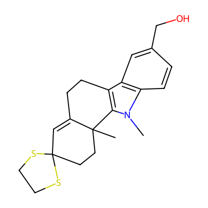 Cn1c2c(c3cc(CO)ccc31)CCC1=CC3(CCC12C)SCCS3